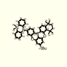 CC(C)(C)c1cc2c3c(c1)Oc1c(ccc4c1C(C)(C)CCC4(C)C)B3c1ccc(N3c4ccccc4[Si](C)(C)c4ccccc43)cc1O2